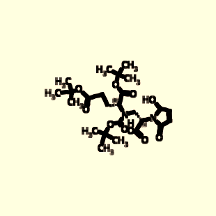 CC(C)(C)OC(=O)CC[C@H](C(=O)OC(C)(C)C)N(C[C@@H](C(=O)O)N1C(=O)C=CC1O)C(=O)OC(C)(C)C